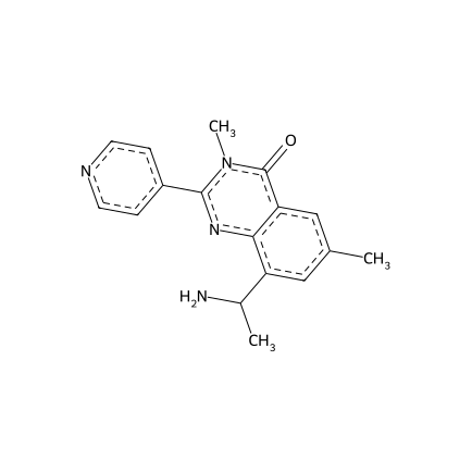 Cc1cc(C(C)N)c2nc(-c3ccncc3)n(C)c(=O)c2c1